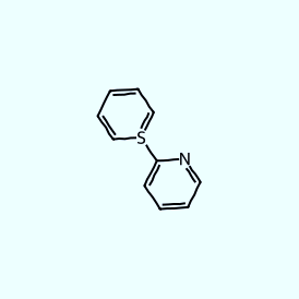 C1=CC=S(c2ccccn2)C=C1